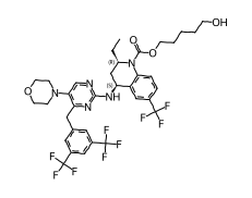 CC[C@@H]1C[C@H](Nc2ncc(N3CCOCC3)c(Cc3cc(C(F)(F)F)cc(C(F)(F)F)c3)n2)c2cc(C(F)(F)F)ccc2N1C(=O)OCCCCCO